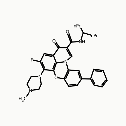 CCCC(CCC)NC(=O)c1cn2c3c(c(N4CCN(C)CC4)c(F)cc3c1=O)Oc1ccc(-c3ccccc3)cc1-2